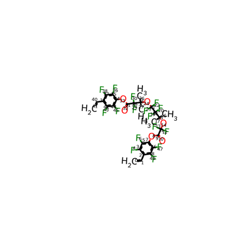 C=Cc1c(F)c(F)c(OC(=O)C(F)(F)OC(C)(C)C(F)(F)C(F)(F)OC(C)(C)C(F)(F)C(=O)Oc2c(F)c(F)c(C=C)c(F)c2F)c(F)c1F